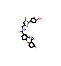 O=C(NCC1=CNC(c2ccc(O)cc2)S1)c1ccc2c(c1)NC(=O)c1cc(F)ccc1S2